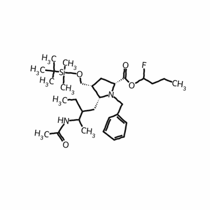 CCCC(F)OC(=O)[C@H]1C[C@@H](CO[Si](C)(C)C(C)(C)C)[C@@H](CC(CC)C(C)NC(C)=O)N1Cc1ccccc1